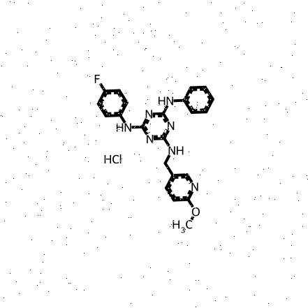 COc1ccc(CNc2nc(Nc3ccccc3)nc(Nc3ccc(F)cc3)n2)cn1.Cl